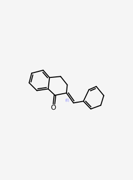 O=C1/C(=C/C2=CCCC=C2)CCc2ccccc21